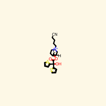 N#CCCCC[N+]12CCC(CC1)[C@@H](OC(=O)C(O)(c1cccs1)c1cccs1)C2